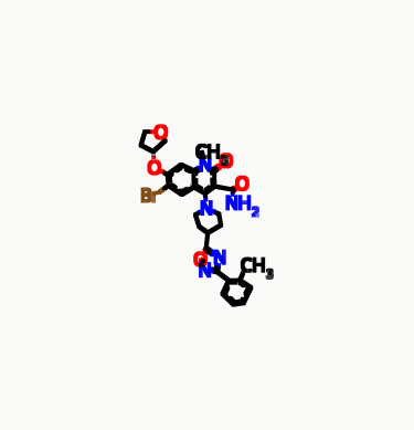 Cc1ccccc1-c1noc(C2CCN(c3c(C(N)=O)c(=O)n(C)c4cc(O[C@@H]5CCOC5)c(Br)cc34)CC2)n1